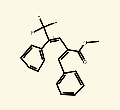 COC(=O)C(=Cc1ccccc1)/C=C(\c1ccccc1)C(F)(F)F